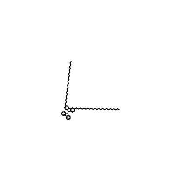 CCCCCCCCCCCCCCCCCCCCCCCCc1ccc2c(c1)-c1cc(CCCCCCCCCCCCCCCCCCCCCCCC)ccc1C2.c1ccc2c(c1)Cc1ccccc1-2